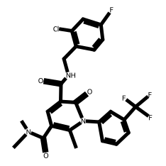 Cc1c(C(=O)N(C)C)cc(C(=O)NCc2ccc(F)cc2Cl)c(=O)n1-c1cccc(C(F)(F)F)c1